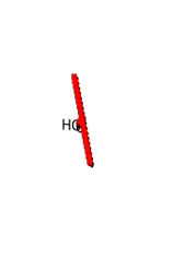 CCCCCCCCCCCCCCCCCCN(CCCCCCCCCCCCCCCCCC)CC(=O)O